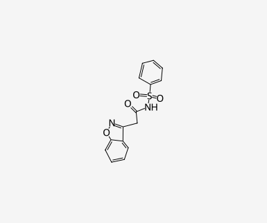 O=C(Cc1noc2ccccc12)NS(=O)(=O)c1ccccc1